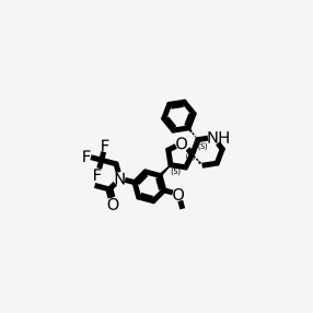 COc1ccc(N(CC(F)(F)F)C(C)=O)cc1[C@H]1CO[C@]2(CCCN[C@H]2c2ccccc2)C1